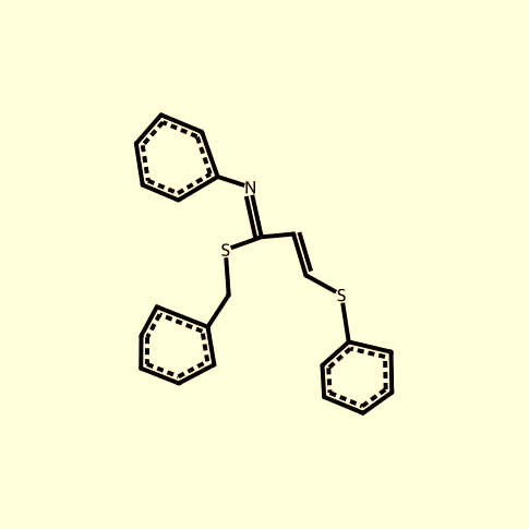 C(=CC(=Nc1ccccc1)SCc1ccccc1)Sc1ccccc1